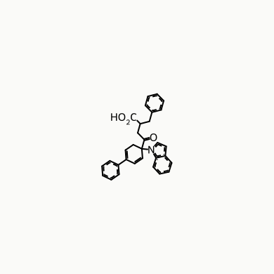 O=C(O)C(CC(=O)C1(n2ccc3ccccc32)C=CC(c2ccccc2)=CC1)Cc1ccccc1